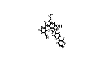 CCCCc1nc(O)c(S(=O)(=O)c2ccc(-c3ccc(F)nc3C)cc2)c(O)c1N(C)c1cccc(C#N)c1